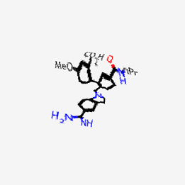 CCCNC(=O)c1ccc(CN2CCc3cc(C(=N)N)ccc32)c(-c2ccc(OC)cc2C(=O)O)c1